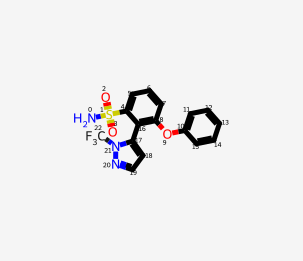 NS(=O)(=O)c1cccc(Oc2ccccc2)c1-c1ccnn1C(F)(F)F